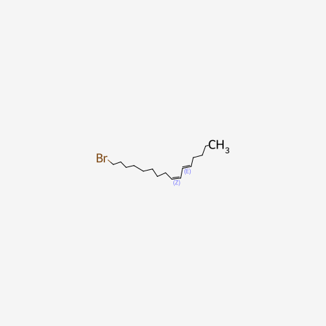 CCCC/C=C/C=C\CCCCCCCCBr